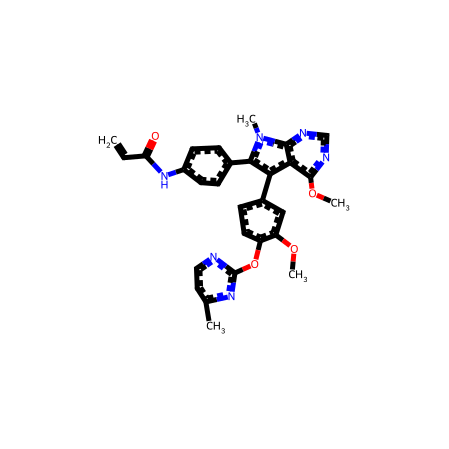 C=CC(=O)Nc1ccc(-c2c(-c3ccc(Oc4nccc(C)n4)c(OC)c3)c3c(OC)ncnc3n2C)cc1